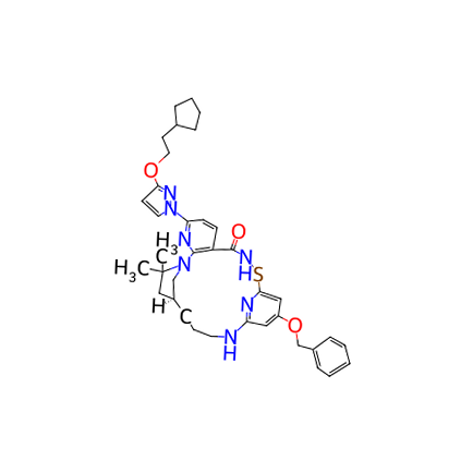 CC1(C)C[C@@H]2CCCNc3cc(OCc4ccccc4)cc(n3)SNC(=O)c3ccc(-n4ccc(OCCC5CCCC5)n4)nc3N1C2